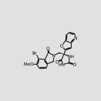 COc1ccc2c(c1Br)C(=O)N(C[C@@]1(c3cc4ncccc4o3)NC(=O)NC1=O)C2